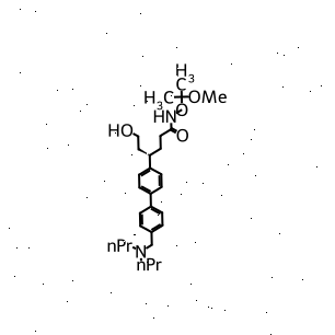 CCCN(CCC)Cc1ccc(-c2ccc([C@@H](CCO)CCC(=O)NOC(C)(C)OC)cc2)cc1